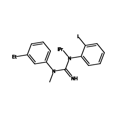 CCc1cccc(N(C)C(=N)N(c2ccccc2I)C(C)C)c1